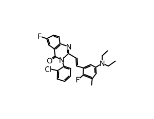 CCN(CC)c1cc(C)c(F)c(C=Cc2nc3ccc(F)cc3c(=O)n2-c2ccccc2Cl)c1